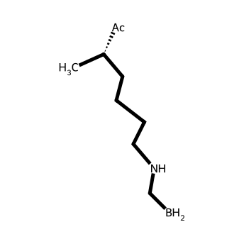 BCNCCCC[C@H](C)C(C)=O